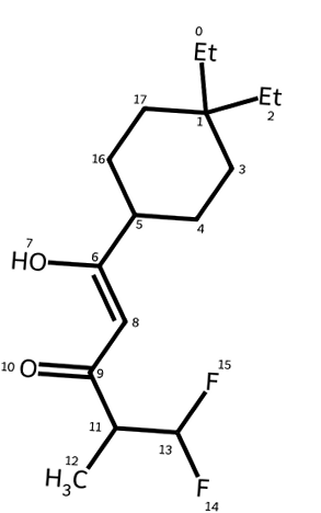 CCC1(CC)CCC(/C(O)=C/C(=O)C(C)C(F)F)CC1